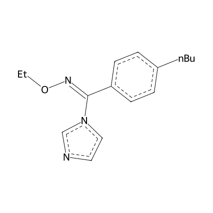 CCCCc1ccc(C(=NOCC)n2ccnc2)cc1